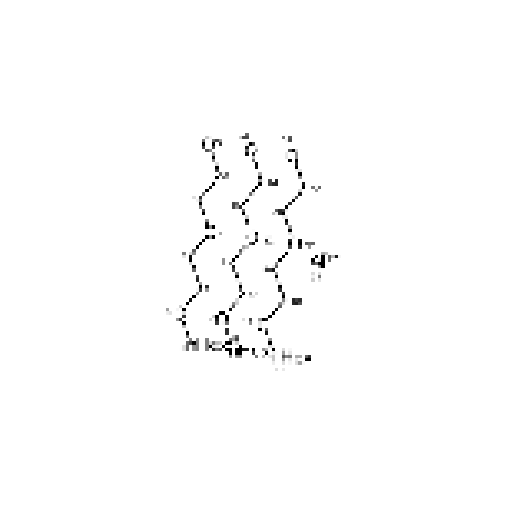 CCCCCCOCCOCC[O-].CCCCCCOCCOCC[O-].CCCCCCOCCOCC[O-].[Al+3]